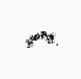 Cc1cc(-c2nc(-c3ccc4c(c3)cc3n4CCC3CC(=O)O)no2)cc(Cl)n1